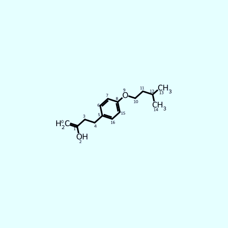 C=C(O)CCc1ccc(OCCC(C)C)cc1